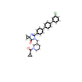 O=C(C1CC1)N1CCC[C@H](CN2C(=O)C3(CC3)N=C2c2ccc(-c3ccc(-c4cccc(Cl)c4)cc3)cc2)C1